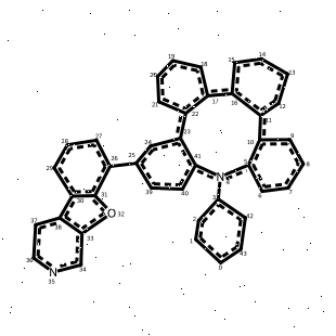 c1ccc(-n2c3ccccc3c3ccccc3c3ccccc3c3cc(-c4cccc5c4oc4cnccc45)ccc32)cc1